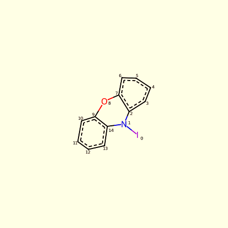 IN1c2ccccc2Oc2ccccc21